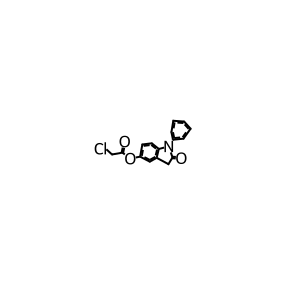 O=C(CCl)Oc1ccc2c(c1)CC(=O)N2c1ccccc1